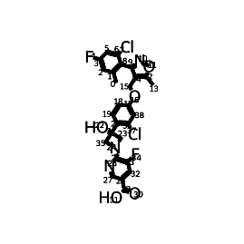 Cc1cc(F)cc(Cl)c1-c1noc(C)c1COc1ccc(C2(O)CN(c3ncc(C(=O)O)cc3F)C2)c(Cl)c1